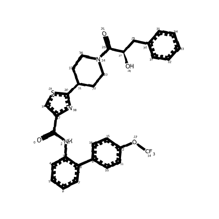 O=C(Nc1ccccc1-c1ccc(OC(F)(F)F)cc1)c1csc(C2CCN(C(=O)[C@H](O)Cc3ccccc3)CC2)n1